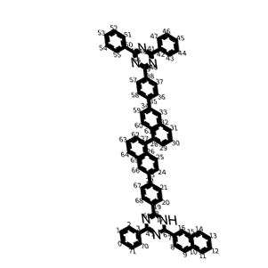 c1ccc(C2=NC(c3ccc4ccccc4c3)NC(c3ccc(-c4ccc5c(-c6cccc7cc(-c8ccc(-c9nc(-c%10ccccc%10)nc(-c%10ccccc%10)n9)cc8)ccc67)cccc5c4)cc3)=N2)cc1